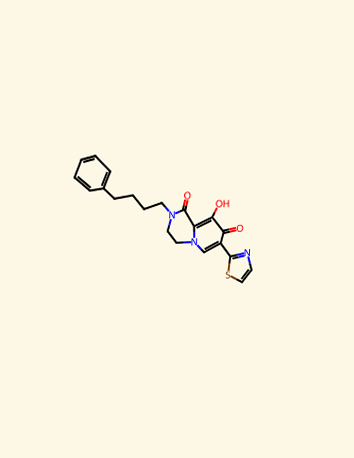 O=C1c2c(O)c(=O)c(-c3nccs3)cn2CCN1CCCCc1ccccc1